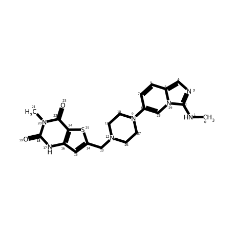 CNc1ncc2ccc(N3CCN(Cc4cc5[nH]c(=O)n(C)c(=O)c5s4)CC3)cn12